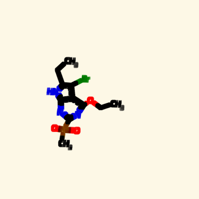 CCOc1nc(S(C)(=O)=O)nc2[nH]c(CC)c(Br)c12